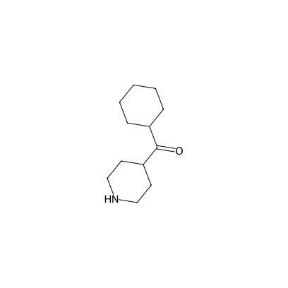 O=C(C1CCCCC1)C1CCNCC1